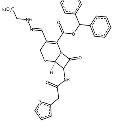 CCOC(=O)CN/N=C/C1=C(C(=O)OC(c2ccccc2)c2ccccc2)N2C(=O)C(NC(=O)Cc3cccs3)[C@H]2SC1